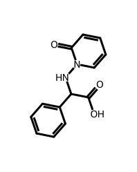 O=C(O)C(Nn1ccccc1=O)c1ccccc1